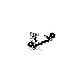 CC[n+]1c(/C=C/C=C/C=C/C=C2\N(CCC[N+](CC)(CC)CC)c3ccccc3C2(C)C)sc2ccccc21